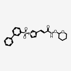 O=C(C=Cc1ccn(S(=O)(=O)c2cccc(-c3ccccc3)c2)c1)NOC1CCCCO1